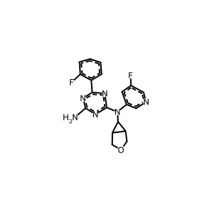 Nc1nc(-c2ccccc2F)nc(N(c2cncc(F)c2)C2C3COCC32)n1